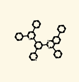 c1ccc(-c2cc(-c3ccccc3)nc(-c3cc(-c4cccnc4)cc(-c4nc(-c5ccccc5)c5ccc(-c6ccccc6)cc5n4)c3)c2)cc1